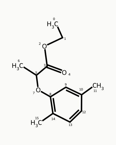 CCOC(=O)C(C)Oc1cc(C)ccc1C